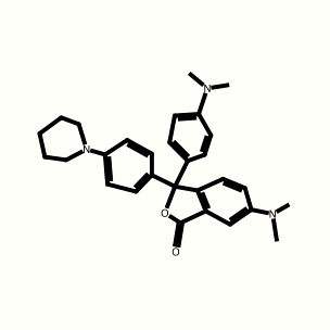 CN(C)c1ccc(C2(c3ccc(N4CCCCC4)cc3)OC(=O)c3cc(N(C)C)ccc32)cc1